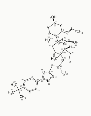 CC[C@@H]1C2C[C@H](O)CC[C@]2(C)[C@H]2CCC3(C)[C@@H]([C@H](C)Cc4nnc(-c5ccc(C(C)(C)C)cc5)o4)CC[C@H]3C2[C@@H]1O